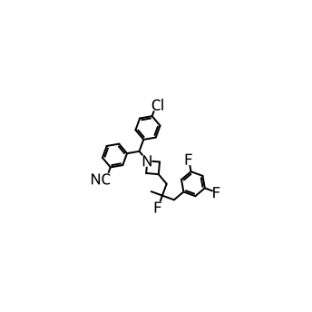 CC(F)(Cc1cc(F)cc(F)c1)CC1CN(C(c2ccc(Cl)cc2)c2cccc(C#N)c2)C1